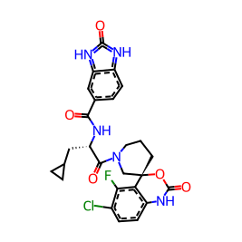 O=C1Nc2ccc(Cl)c(F)c2[C@@]2(CCCN(C(=O)[C@H](CC3CC3)NC(=O)c3ccc4[nH]c(=O)[nH]c4c3)C2)O1